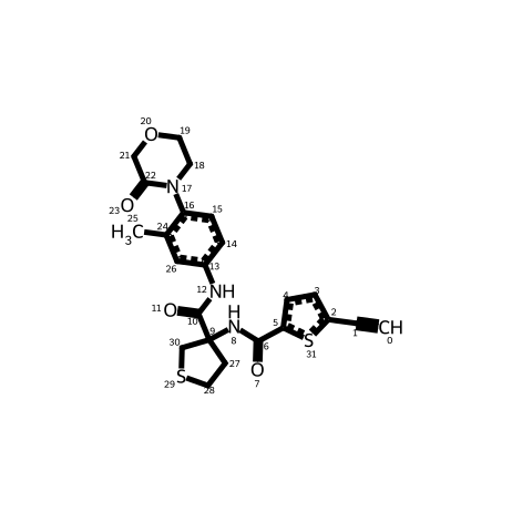 C#Cc1ccc(C(=O)NC2(C(=O)Nc3ccc(N4CCOCC4=O)c(C)c3)CCSC2)s1